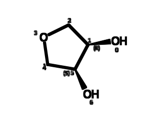 O[C@@H]1CO[CH][C@@H]1O